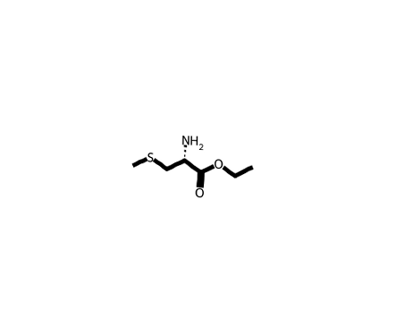 CCOC(=O)[C@@H](N)CSC